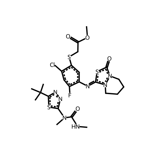 CNC(=O)N(C)c1nnc(C(C)(C)C)s1.COC(=O)CSc1cc(/N=c2\sc(=O)n3n2CCCC3)c(F)cc1Cl